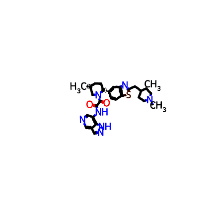 CC1CN(C)CCC1Cc1nc2cc([C@H]3CC[C@H](C)CN3C(=O)C(=O)Nc3cncc4cn[nH]c34)ccc2s1